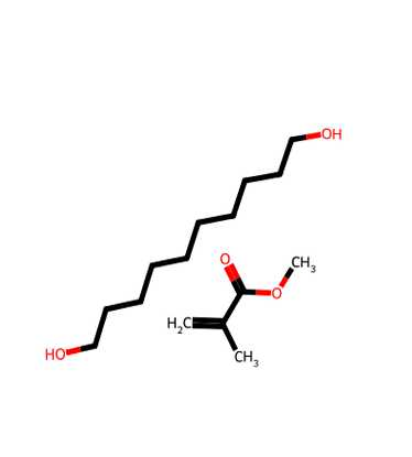 C=C(C)C(=O)OC.OCCCCCCCCCCO